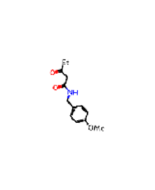 CCC(=O)CC(=O)NCc1ccc(OC)cc1